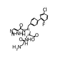 NCC(=O)NC[C@H](C[C@@H](Cc1ccc(-c2cc(Cl)ccc2F)cc1)NC(=O)c1cnn[nH]1)C(=O)O